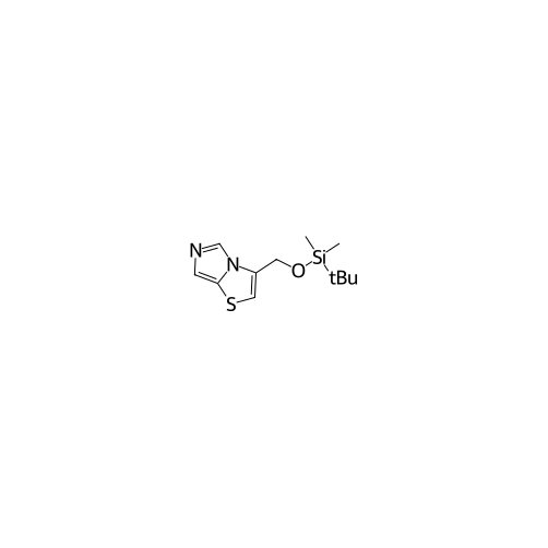 CC(C)(C)[Si](C)(C)OCc1csc2cncn12